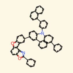 c1ccc(-c2ccc(N(c3cccc(-c4cccc5ccccc45)c3)c3ccc(-c4ccc5oc6ccc7oc(-c8ccccc8)nc7c6c5c4)cc3-c3ccccc3)cc2)cc1